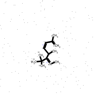 C=C(C)/C=C\C(C)/C(=N\C)C(C)(C)C